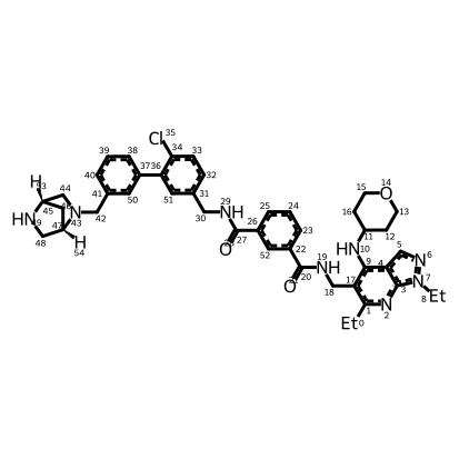 CCc1nc2c(cnn2CC)c(NC2CCOCC2)c1CNC(=O)c1cccc(C(=O)NCc2ccc(Cl)c(-c3cccc(CN4C[C@@H]5C[C@H]4CN5)c3)c2)c1